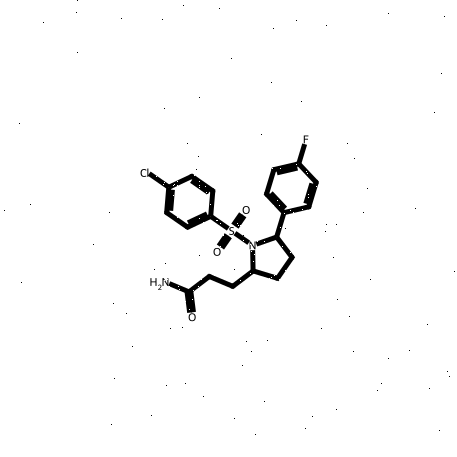 NC(=O)CCC1CCC(c2ccc(F)cc2)N1S(=O)(=O)c1ccc(Cl)cc1